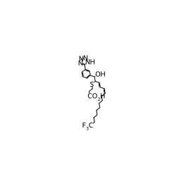 O=C(O)CCS[C@H](/C=C/C=C\CCCCCCCCC(F)(F)F)[C@@H](O)c1cccc(-c2nnn[nH]2)c1